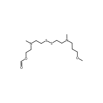 COCCCN(C)CCSSCCN(C)CCOC=O